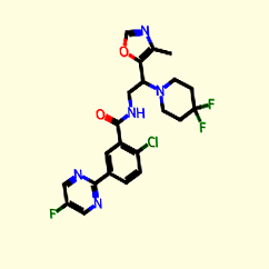 Cc1ncoc1C(CNC(=O)c1cc(-c2ncc(F)cn2)ccc1Cl)N1CCC(F)(F)CC1